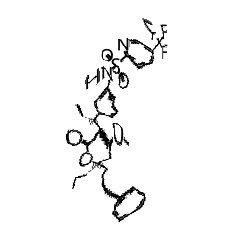 CCC[C@@]1(CCc2ccccc2)CC(OC)=C([C@H](CC)c2cccc(NS(=O)(=O)c3ccc(C(F)(F)F)cn3)c2)C(=O)O1